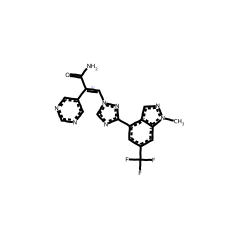 Cn1ncc2c(-c3ncn(/C=C(/C(N)=O)c4cncnc4)n3)cc(C(F)(F)F)cc21